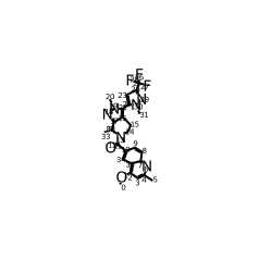 COc1cc(C)nc2ccc(C(=O)N3CCc4c(nn(C)c4-c4cc(C(F)(F)F)nn4C)[C@@H]3C)cc12